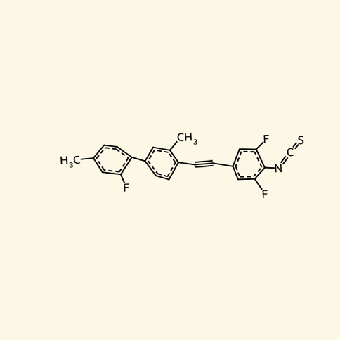 Cc1ccc(-c2ccc(C#Cc3cc(F)c(N=C=S)c(F)c3)c(C)c2)c(F)c1